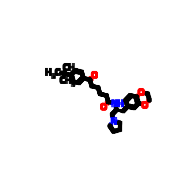 CC(C)(C)c1ccc(C(=O)CCCCC(=O)N[C@@H](Cc2ccc3c(c2)OCCO3)CN2CCCC2)cc1